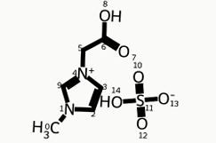 Cn1cc[n+](CC(=O)O)c1.O=S(=O)([O-])O